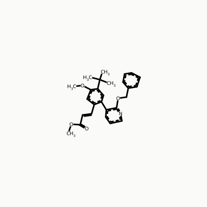 COC(=O)C=Cc1cc(OC)c(C(C)(C)C)cc1-c1cccnc1OCc1ccccc1